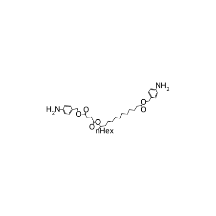 CCCCCC[C@H](CCCCCCCCCCC(=O)OCc1ccc(N)cc1)OC(=O)CCC(=O)OCc1ccc(N)cc1